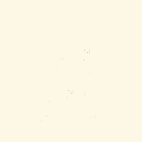 CCCNC(CCC)[O][Co][O]C(CCC)NCCC